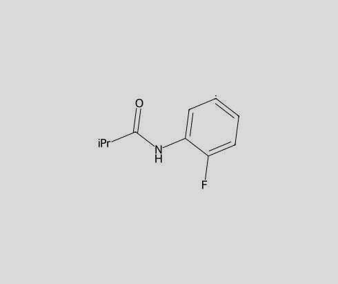 CC(C)C(=O)Nc1c[c]ccc1F